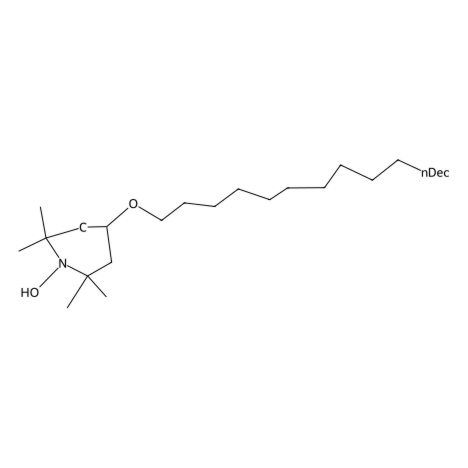 CCCCCCCCCCCCCCCCCCCCOC1CC(C)(C)N(O)C(C)(C)C1